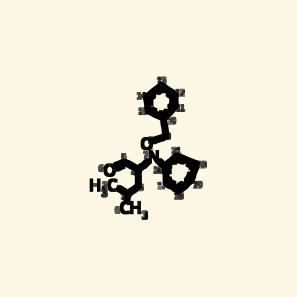 CC(C)CC(C=O)N(OCc1ccccc1)c1ccccc1